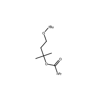 CCCC(=O)OC(C)(C)CCOC(C)(C)C